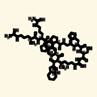 N=C(N)NCCC[C@@H](N)C(=O)N[C@@H](CCCNC(=N)N)C(=O)N1CCC[C@H]1C(=O)N1CCC[C@H]1C(=O)NCC(=O)N[C@@H](Cc1cccs1)C(=O)N[C@@H](CO)C(=O)NC(=N)NCCC[C@@H](C(=O)O)N(C(=O)C1CC2CCCC[C@@H]2N1)C(=O)[C@H]1Cc2ccccc2CN1